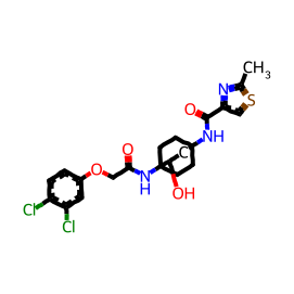 Cc1nc(C(=O)NC23CCC(NC(=O)COc4ccc(Cl)c(Cl)c4)(CC2)C(O)C3)cs1